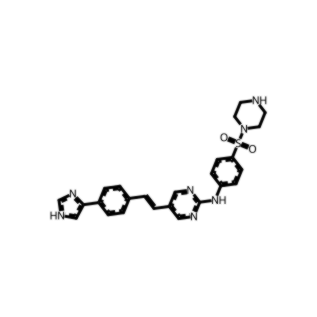 O=S(=O)(c1ccc(Nc2ncc(C=Cc3ccc(-c4c[nH]cn4)cc3)cn2)cc1)N1CCNCC1